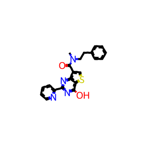 CN(CCc1ccccc1)C(=O)c1csc2c(O)nc(-c3ccccn3)nc12